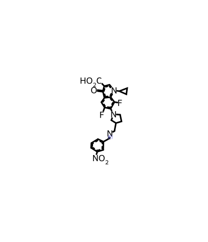 O=C(O)c1cn(C2CC2)c2c(F)c(N3CCC(C/N=C/c4cccc([N+](=O)[O-])c4)C3)c(F)cc2c1=O